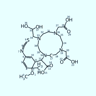 COC1(C)C=CC(N=C=S)=CC1C(C(=O)O)N1CCN(CC(=O)O)CCN(CC(=O)O)CCN(CC(O)O)CC1